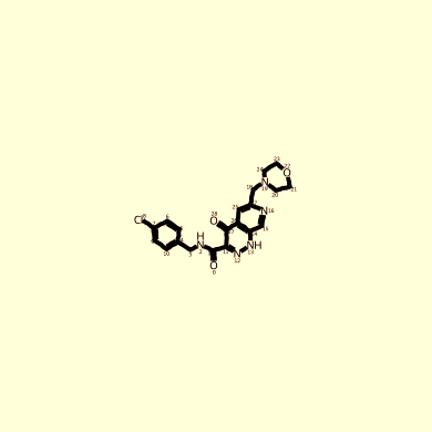 O=C(NCc1ccc(Cl)cc1)c1n[nH]c2cnc(CN3CCOCC3)cc2c1=O